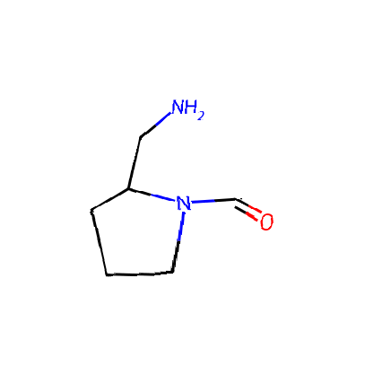 NCC1CCCN1[C]=O